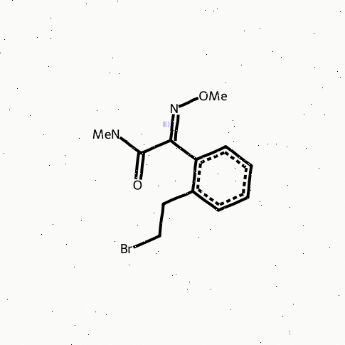 CNC(=O)/C(=N/OC)c1ccccc1CCBr